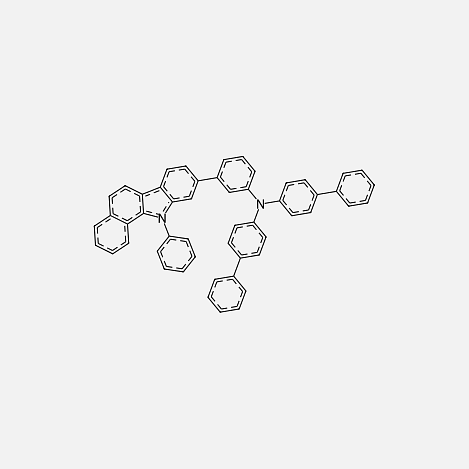 c1ccc(-c2ccc(N(c3ccc(-c4ccccc4)cc3)c3cccc(-c4ccc5c6ccc7ccccc7c6n(-c6ccccc6)c5c4)c3)cc2)cc1